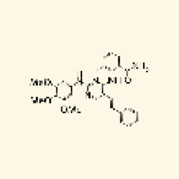 COc1cc(Nc2ncc(C=Cc3ccccc3)c(Nc3c(C)cccc3C(N)=O)n2)cc(OC)c1OC